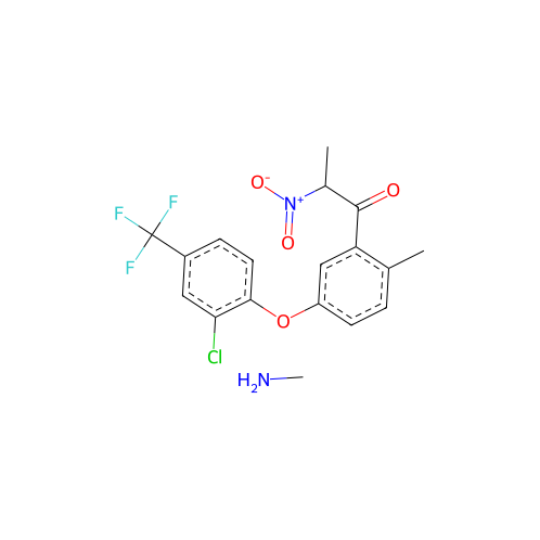 CN.Cc1ccc(Oc2ccc(C(F)(F)F)cc2Cl)cc1C(=O)C(C)[N+](=O)[O-]